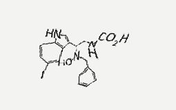 O=C(O)NCC(c1c[nH]c2ccc(I)cc12)N(O)Cc1ccccc1